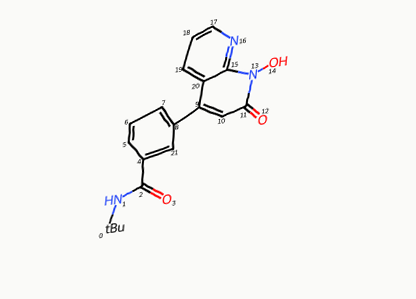 CC(C)(C)NC(=O)c1cccc(-c2cc(=O)n(O)c3ncccc23)c1